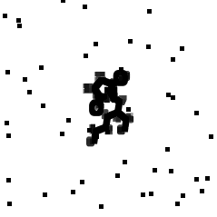 CCCCC(CC)CN1C(=O)CCC1=O